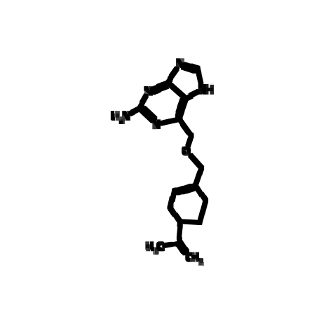 C=C(C)C1CC=C(COCc2nc(N)nc3nc[nH]c23)CC1